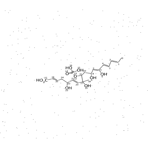 CC=CC=CC(O)=CC(O)CC(OP(=O)(O)O)C(C)(O)C=CC(O)CC=CC(=O)O